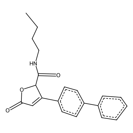 CCCCNC(=O)C1OC(=O)C=C1c1ccc(-c2ccccc2)cc1